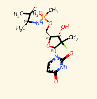 CC(C)[C@H](C)NP(C)(=O)OC[C@H]1O[C@@H](n2ccc(=O)[nH]c2=O)C(C)(F)[C@H]1O